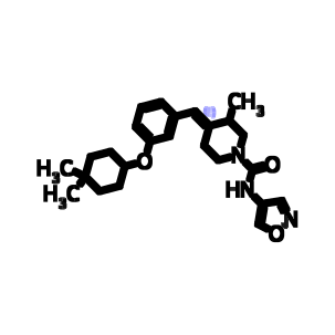 CC1CN(C(=O)Nc2cnoc2)CC/C1=C\c1cccc(OC2CCC(C)(C)CC2)c1